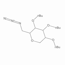 CCCCOC1COC(CN=[N+]=[N-])C(OCCCC)C1OCCCC